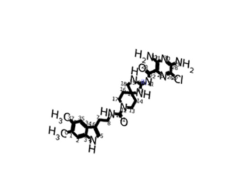 Cc1cc2[nH]cc(CCNC(=O)N3CCC4(CC3)CN/C(=N\C(=O)c3nc(Cl)c(N)nc3N)N4)c2cc1C